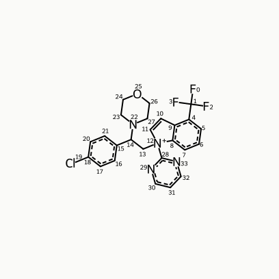 FC(F)(F)c1cccc2c1C=C[N+]2(CC(c1ccc(Cl)cc1)N1CCOCC1)c1ncccn1